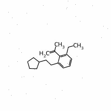 C=C(C)c1c(CC)cccc1CCC1CCCC1